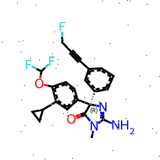 CN1C(=O)[C@@](c2cccc(C#CCF)c2)(c2ccc(OC(F)F)c(C3CC3)c2)N=C1N